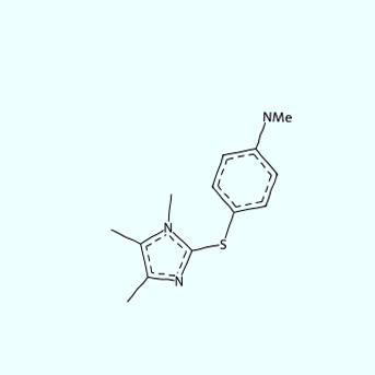 CNc1ccc(Sc2nc(C)c(C)n2C)cc1